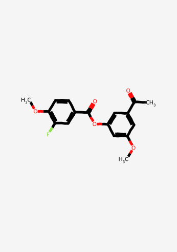 COc1cc(OC(=O)c2ccc(OC)c(F)c2)cc(C(C)=O)c1